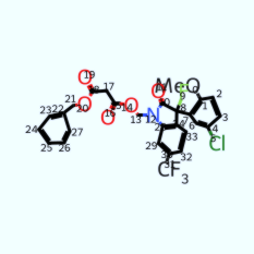 COc1ccc(Cl)cc1C1(F)C(=O)N(COC(=O)CC(=O)OCc2ccccc2)c2cc(C(F)(F)F)ccc21